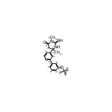 CN1C(=N)N[C@](C)(c2ccnc(-c3cccc(OC(F)(F)F)c3)c2)CC1=O